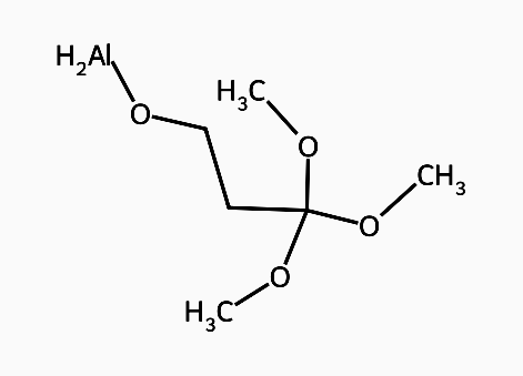 COC(CC[O][AlH2])(OC)OC